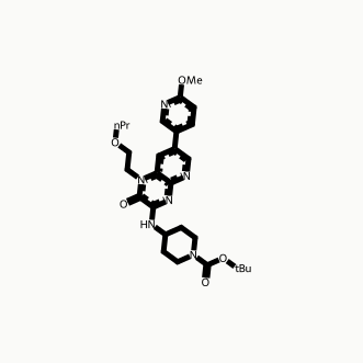 CCCOCCn1c(=O)c(NC2CCN(C(=O)OC(C)(C)C)CC2)nc2ncc(-c3ccc(OC)nc3)cc21